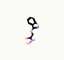 O=C(COc1nsc2ccccc12)NO